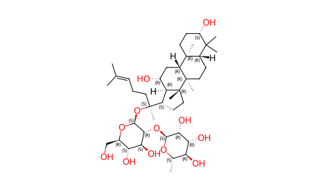 CC(C)=CCC[C@](C)(O[C@@H]1O[C@H](CO)[C@@H](O)[C@H](O)[C@H]1O[C@@H]1O[C@@H](C)[C@H](O)[C@@H](O)[C@H]1O)[C@H]1CC[C@]2(C)[C@@H]1[C@H](O)C[C@@H]1[C@@]3(C)CC[C@H](O)C(C)(C)[C@@H]3CC[C@]12C